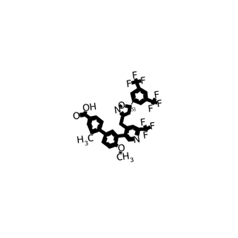 COc1ccc(-c2ccc(C(=O)O)cc2C)cc1-c1cnc(C(F)(F)F)cc1CC1=NO[C@H](c2cc(C(F)(F)F)cc(C(F)(F)F)c2)C1